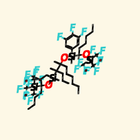 CCCCCCC(C)(O[Si](C)(c1cc(F)c(F)c(F)c1)C(C)(CCCCC)O[Si](C(F)(F)F)(C(F)(F)F)C(F)(F)F)C(C)(CCC)[Si](C)(CCC(F)(F)F)OC(C)(CCCC)[Si](C(F)(F)F)(C(F)(F)F)C(F)(F)F